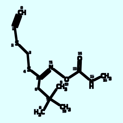 C#CSCSC(CC(C)(C)C)=NOC(=O)NC